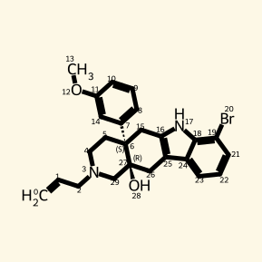 C=CCN1CC[C@@]2(c3cccc(OC)c3)Cc3[nH]c4c(Br)cccc4c3C[C@]2(O)C1